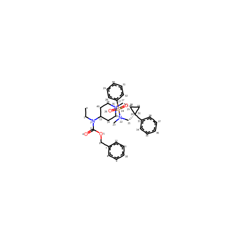 CCN(C(=O)OCc1ccccc1)C1CCN(C[C@@H]2C[C@@]2(CN(C)S(=O)(=O)c2ccccc2)c2ccccc2)CC1